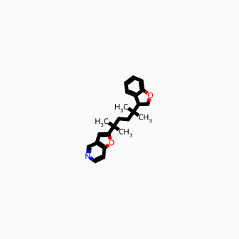 CC(C)(CCC(C)(C)C1COc2ccccc21)c1cc2cnccc2o1